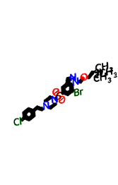 C[Si](C)(C)CCOCn1ncc2cc(S(=O)(=O)N3CCN(CCc4ccc(Cl)cc4)CC3)cc(Br)c21